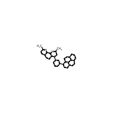 Cc1ccc2ccc3c(-c4cccc(-c5ccc6ccc7cccc8ccc5c6c78)c4)cc(C)nc3c2n1